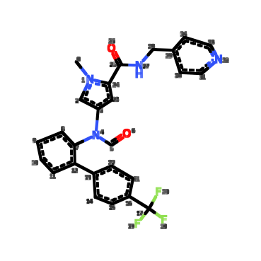 Cn1cc(N(C=O)c2ccccc2-c2ccc(C(F)(F)F)cc2)cc1C(=O)NCc1ccncc1